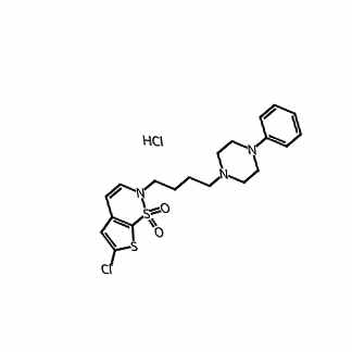 Cl.O=S1(=O)c2sc(Cl)cc2C=CN1CCCCN1CCN(c2ccccc2)CC1